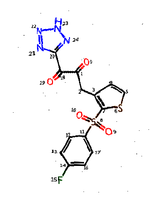 O=C(Cc1ccsc1S(=O)(=O)c1ccc(F)cc1)C(=O)c1nn[nH]n1